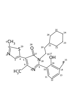 Cc1ncc(-c2c(C)nc(-c3cccc(F)c3O)n(CCC3CCCCC3)c2=O)s1